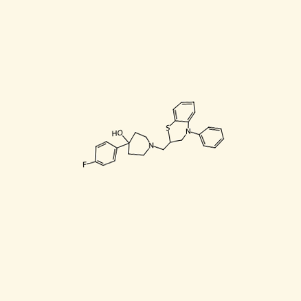 OC1(c2ccc(F)cc2)CCN(CC2CN(c3ccccc3)c3ccccc3S2)CC1